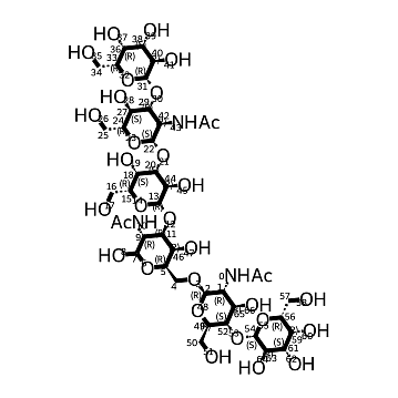 CC(=O)N[C@H]1[C@H](OC[C@H]2OC(O)[C@H](NC(C)=O)[C@@H](O[C@@H]3O[C@H](CO)[C@H](O)[C@H](O[C@@H]4O[C@H](CO)[C@@H](O)[C@H](O[C@@H]5O[C@H](CO)[C@H](O)[C@H](O)[C@H]5O)[C@H]4NC(C)=O)[C@H]3O)[C@H]2O)O[C@H](CO)[C@@H](O[C@@H]2O[C@H](CO)[C@H](O)[C@H](O)[C@H]2O)[C@@H]1O